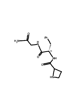 CC(C)C[C@H](NC(=O)C1CCN1)C(=O)NCC(N)=O